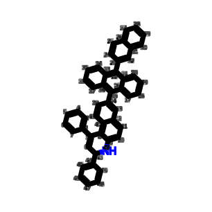 C1=C(c2ccccc2)c2c(ccc3cc(-c4c5ccccc5c(-c5ccc6ccccc6c5)c5ccccc45)ccc23)NC1c1ccccc1